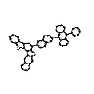 c1ccc(-c2c3ccccc3c(-c3ccc4cc(-c5cc6c7ccccc7oc6c6c5sc5cc7ccccc7cc56)ccc4c3)c3ccccc23)cc1